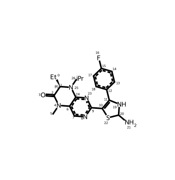 CC[C@@H]1C(=O)N(C)c2cnc(C3=C(c4ccc(F)cc4)NC(N)S3)nc2N1C(C)C